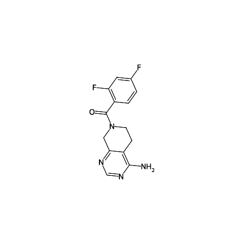 Nc1ncnc2c1CCN(C(=O)c1ccc(F)cc1F)C2